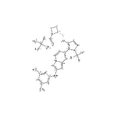 [2H]C([2H])([2H])n1ncc(OC[C@H]2CCN2C(=O)OC(C)(C)C)c1-c1ccn2nc(Nc3cc(C)nc(C)n3)cc2c1